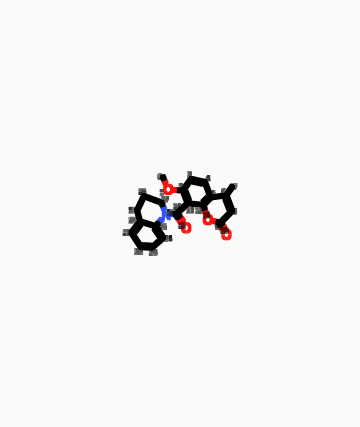 COc1ccc2c(C)cc(=O)oc2c1C(=O)N1CCCc2ccccc21